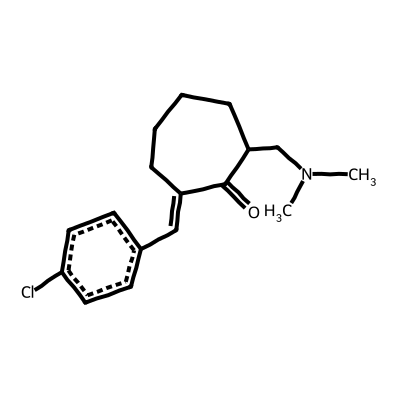 CN(C)CC1CCCCC(=Cc2ccc(Cl)cc2)C1=O